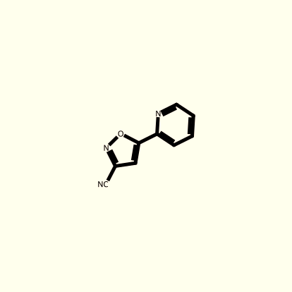 N#Cc1cc(-c2ccccn2)on1